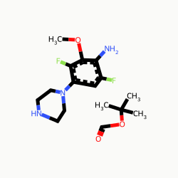 CC(C)(C)OC=O.COc1c(N)c(F)cc(N2CCNCC2)c1F